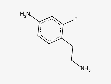 NCCc1ccc(N)cc1F